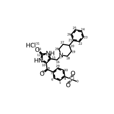 CS(=O)(=O)c1ccc(C(=O)c2[nH]c(=O)[nH]c2CN2CCC(c3ccccc3)CC2)cc1.Cl